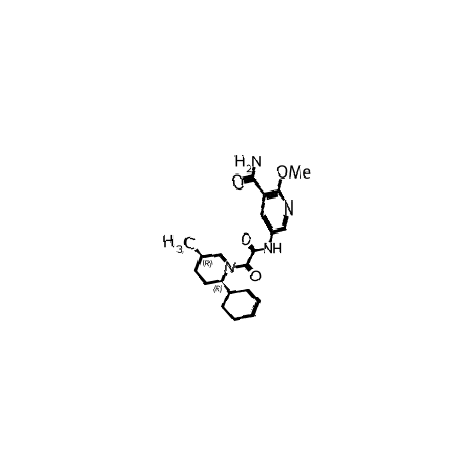 COc1ncc(NC(=O)C(=O)N2C[C@H](C)CC[C@@H]2C2CCCCC2)cc1C(N)=O